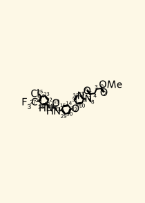 COC(=O)CCC(=O)N(C)c1cc(Oc2ccc(NC(=O)Nc3ccc(Cl)c(C(F)(F)F)c3)cc2)ccn1